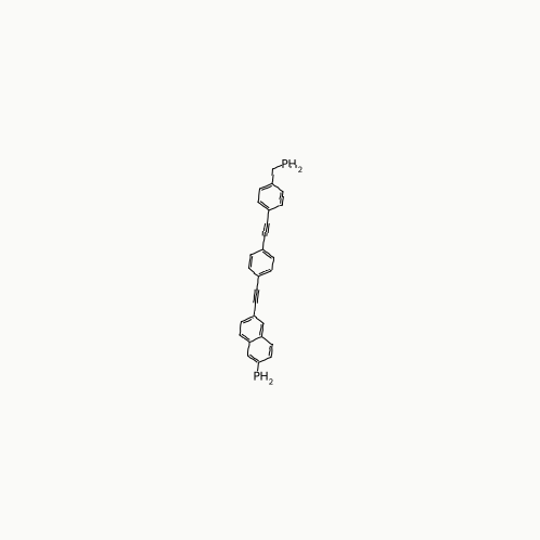 PCc1ccc(C#Cc2ccc(C#Cc3ccc4cc(P)ccc4c3)cc2)cc1